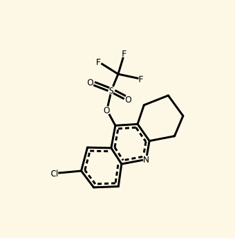 O=S(=O)(Oc1c2c(nc3ccc(Cl)cc13)CCCC2)C(F)(F)F